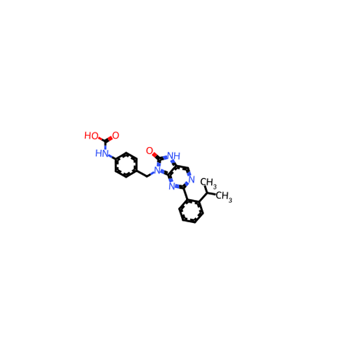 CC(C)c1ccccc1-c1ncc2[nH]c(=O)n(Cc3ccc(NC(=O)O)cc3)c2n1